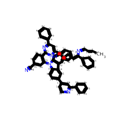 C/C=C/C=N\C(=C/Cc1ccc2c(c1)c1cc(-c3ccnc(-c4ccccc4)c3)ccc1n2-c1cc(C#N)ccc1C1N=C(c2ccccc2)C=C(c2ccccc2)N1)c1ccccc1